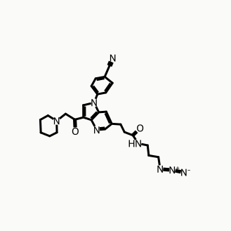 N#Cc1ccc(-n2cc(C(=O)CN3CCCCC3)c3ncc(CCC(=O)NCCCN=[N+]=[N-])cc32)cc1